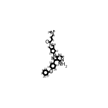 CN(C)C/C=C/C(=O)N1CC2=C(CC(n3nc(-c4ccc(Oc5ccccc5)cc4)c4c(N)ncnc43)C2)C1